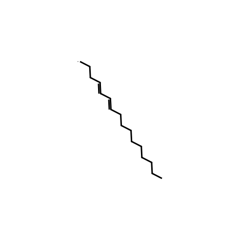 [CH2]CC/C=C/C=C/CCCCCCCCC